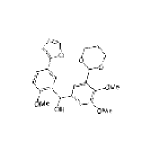 COc1ccc(-c2ccco2)cc1C(O)c1cc(OC)c(OC)c(C2OCCCO2)c1